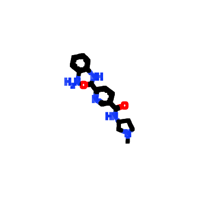 CN1CCC(NC(=O)c2ccc(C(=O)Nc3ccccc3N)nc2)C1